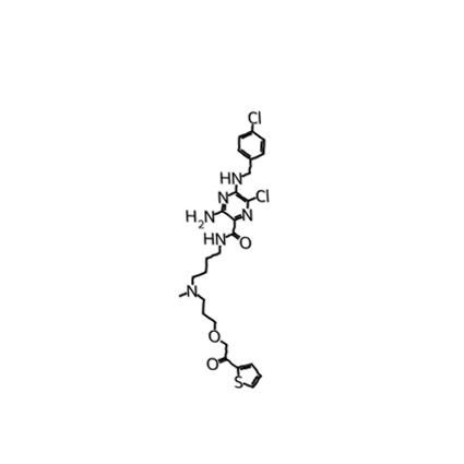 CN(CCCCNC(=O)c1nc(Cl)c(NCc2ccc(Cl)cc2)nc1N)CCCOCC(=O)c1cccs1